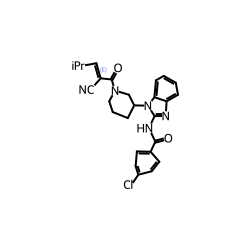 CC(C)/C=C(\C#N)C(=O)N1CCCC(n2c(NC(=O)c3ccc(Cl)cc3)nc3ccccc32)C1